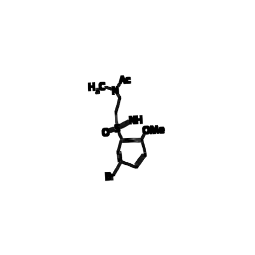 COc1ccc(Br)cc1S(=N)(=O)CCN(C)C(C)=O